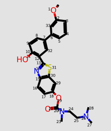 COc1cccc(-c2ccc(O)c(-c3nc4ccc(OC(=O)N(C)CCN(C)C)cc4s3)c2)c1